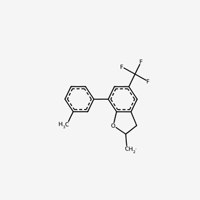 [CH2]C1Cc2cc(C(F)(F)F)cc(-c3cccc(C)c3)c2O1